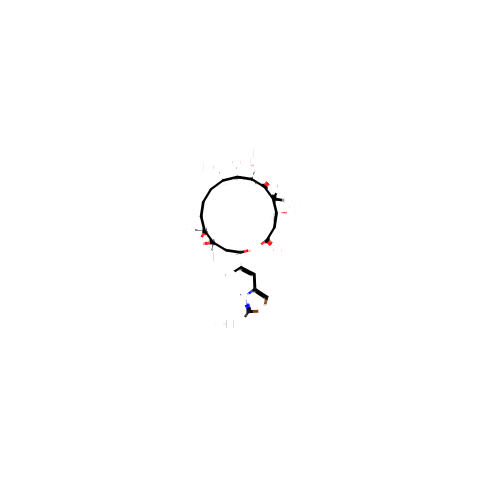 CC(=Cc1csc(C=O)n1)[C@@H]1C[C@@H]2O[C@]2(C)CCC[C@H](C)[C@H](O)[C@@H](C)C(=O)C(C)(C)[C@@H](O)CC(=O)O1